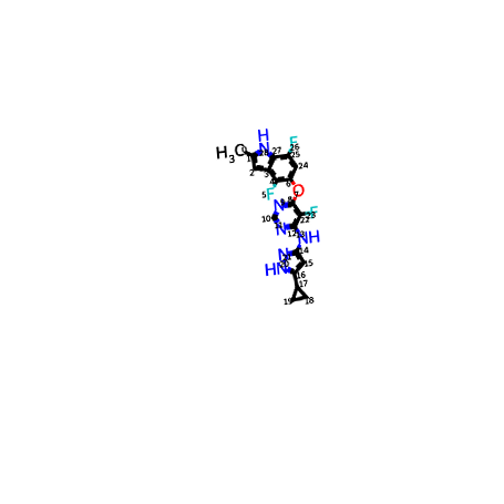 Cc1cc2c(F)c(Oc3ncnc(Nc4cc(C5CC5)[nH]n4)c3F)cc(F)c2[nH]1